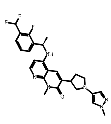 C[C@@H](Nc1ccnc2c1cc(C1CCN(c3cnn(C)c3)C1)c(=O)n2C)c1cccc(C(F)F)c1F